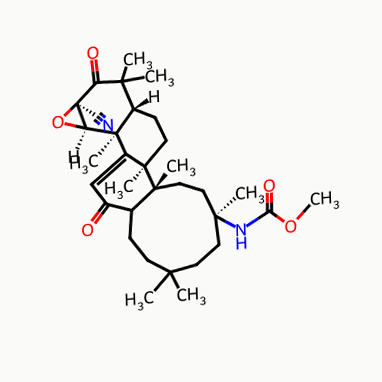 COC(=O)N[C@@]1(C)CCC(C)(C)CCC2C(=O)C=C3[C@@]4(C)[C@H]5O[C@@]5(C#N)C(=O)C(C)(C)[C@@H]4CC[C@@]3(C)[C@]2(C)CC1